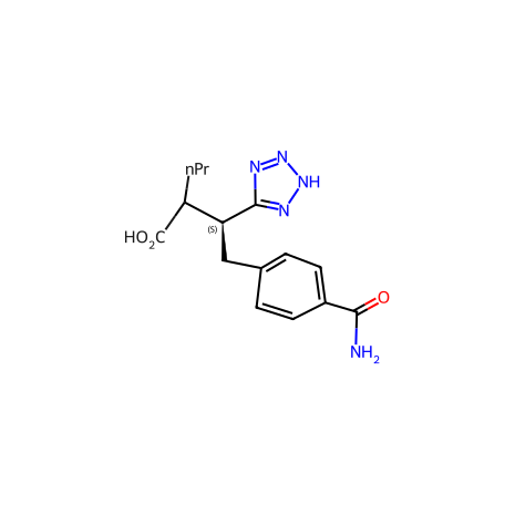 CCCC(C(=O)O)[C@H](Cc1ccc(C(N)=O)cc1)c1nn[nH]n1